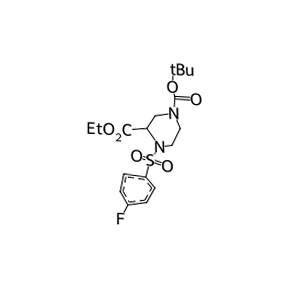 CCOC(=O)C1CN(C(=O)OC(C)(C)C)CCN1S(=O)(=O)c1ccc(F)cc1